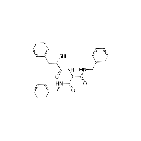 O=C(NCc1ccccc1)C(NC(=O)[C@@H](S)Cc1ccccc1)C(=O)NCc1ccccc1